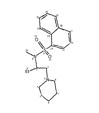 CCC(CN1CCCCC1)N(C)S(=O)(=O)c1cccc2ccccc12